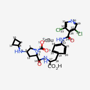 CC(C)(C)OC(=O)N1C[C@H](NC2CCC2)CC1C(=O)N[C@@H](Cc1ccc(NC(=O)c2c(Cl)cncc2Cl)cc1)C(=O)O